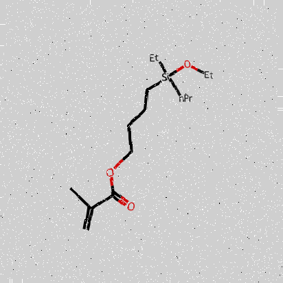 C=C(C)C(=O)OCCCC[Si](CC)(CCC)OCC